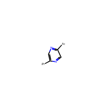 CC(=O)c1cnc(C(C)C)cn1